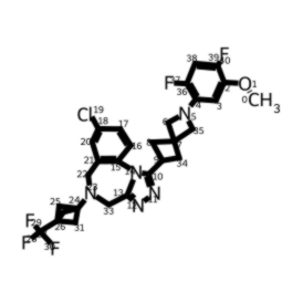 COc1cc(N2CC3(CC(c4nnc5n4-c4ccc(Cl)cc4CN(C46CC(C(F)(F)F)(C4)C6)C5)C3)C2)c(F)cc1F